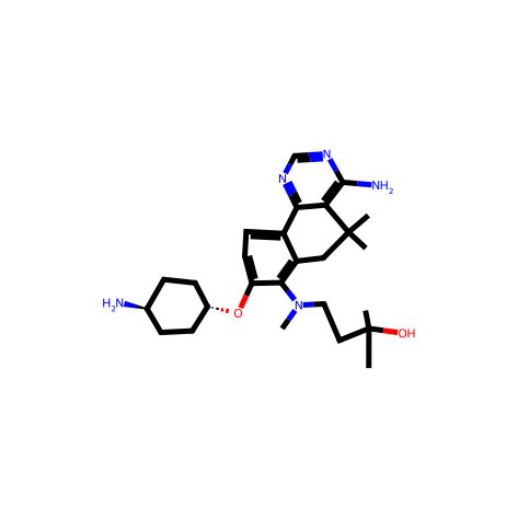 CN(CCC(C)(C)O)c1c(O[C@H]2CC[C@H](N)CC2)ccc2c1CC(C)(C)c1c(N)ncnc1-2